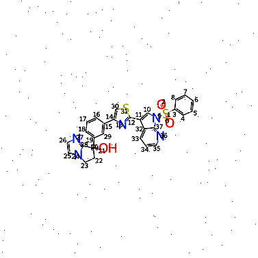 O=S(=O)(c1ccccc1)n1cc(-c2nc(-c3cccc([C@]4(O)CCn5ccnc54)c3)cs2)c2cccnc21